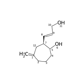 C=C1CCCC(O)[C@H](/C=C/CO)C1